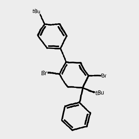 CC(C)(C)c1ccc(C2=C(Br)CC(c3ccccc3)(C(C)(C)C)C(Br)=C2)cc1